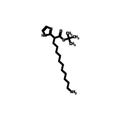 CC(C)(C)OC(=O)C(CCCCCCCCCCCN)c1ncc[nH]1